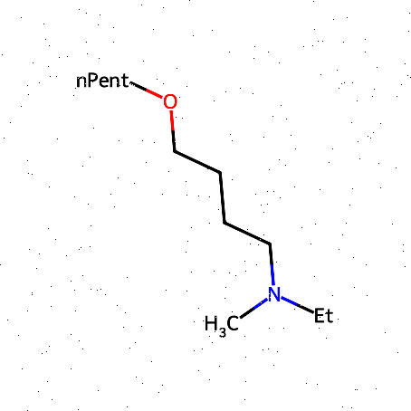 CCCCCOCCCCN(C)CC